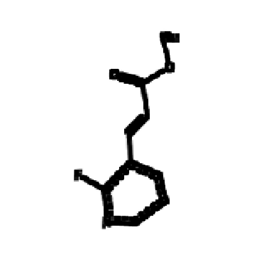 CC(C)(C)OC(=O)/C=C/c1cccnc1F